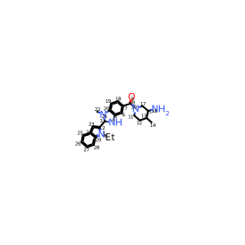 CCn1c(C2Nc3cc(C(=O)N4CCC(C)C(N)C4)ccc3N2C)cc2ccccc21